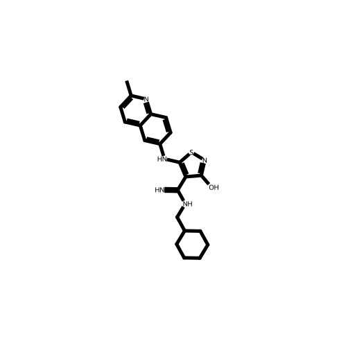 Cc1ccc2cc(Nc3snc(O)c3C(=N)NCC3CCCCC3)ccc2n1